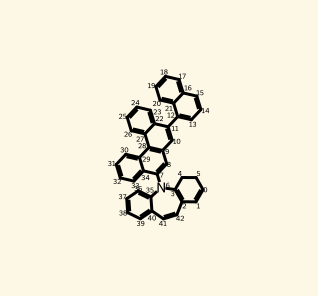 C1=CC2=C(CC1)N(c1cc3cc(-c4cccc5ccccc45)c4ccccc4c3c3ccccc13)c1ccccc1C=C2